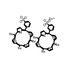 O=S(=O)([O-])c1cccc(-c2c3nc([c]([Re])c4ccc([nH]4)[c]([Re])c4nc([c]([Re])c5ccc2[nH]5)C=C4)C=C3)c1.O=S(=O)([O-])c1cccc(-c2c3nc([c]([Re])c4ccc([nH]4)[c]([Re])c4nc([c]([Re])c5ccc2[nH]5)C=C4)C=C3)c1.[Zn+2]